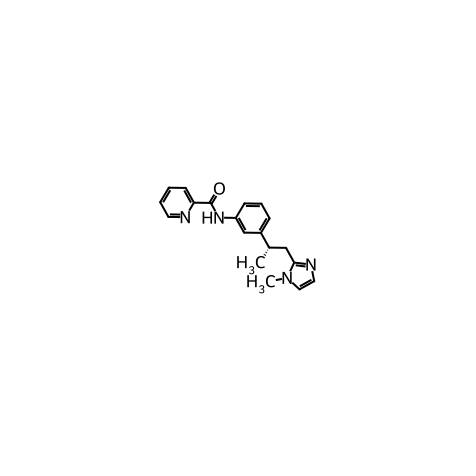 C[C@@H](Cc1nccn1C)c1cccc(NC(=O)c2ccccn2)c1